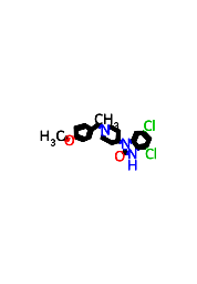 COc1ccc(C(C)N2CCC(n3c(=O)[nH]c4c(Cl)cc(Cl)cc43)CC2)cc1